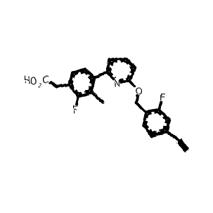 C#Cc1ccc(COc2cccc(-c3ccc(CC(=O)O)c(F)c3C)n2)c(F)c1